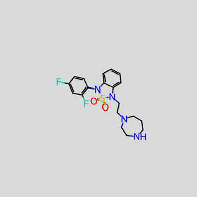 O=S1(=O)N(CCN2CCCNCC2)c2ccccc2N1c1ccc(F)cc1F